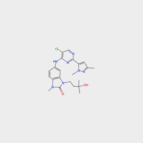 Cc1cc(-c2ncc(Cl)c(Nc3ccc4c(c3)n(CCC(C)(C)O)c(=O)n4C)n2)n(C)n1